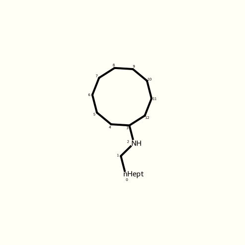 CCCCCCCCNC1CCCCCCCCC1